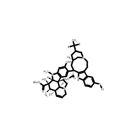 CCSc1ccc2[nH]c3c(c2c1)CCN1CC(C(C)(F)F)C[C@@H](C1)C[C@]3(C(=O)OC)c1cc2c(cc1OC)N(C)[C@H]1[C@@](O)(C(=O)OC)[C@H](C)[C@]3(CC)C=CCN4CC[C@]21[C@@H]43